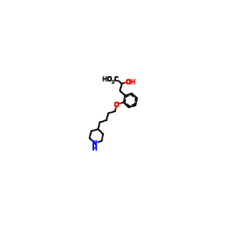 O=C(O)C(O)Cc1ccccc1OCCCCC1CCNCC1